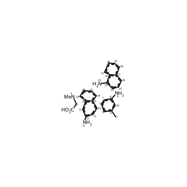 CNCC(=O)O.Cc1cccc(N)c1.Nc1ccc2ccccc2c1.Nc1cccc2ccccc12